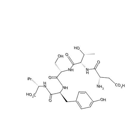 CC(C)[C@H](NC(=O)[C@H](Cc1ccc(O)cc1)NC(=O)[C@H](CO)NC(=O)[C@@H](NC(=O)[C@@H](N)CC(=O)O)[C@@H](C)O)C(=O)O